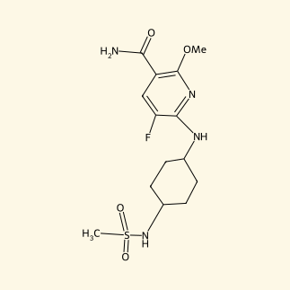 COc1nc(NC2CCC(NS(C)(=O)=O)CC2)c(F)cc1C(N)=O